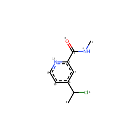 CNC(=O)c1cc(C(C)Cl)ccn1